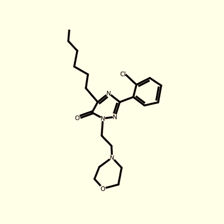 CCCCCCc1nc(-c2ccccc2Cl)nn(CCN2CCOCC2)c1=O